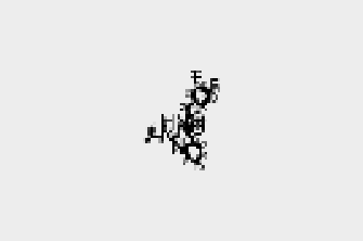 CC(C)CN(C)c1nc2ccccc2c(=O)n1NC(=O)Cc1ccc(F)c(F)c1